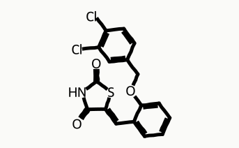 O=C1NC(=O)C(=Cc2ccccc2OCc2ccc(Cl)c(Cl)c2)S1